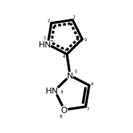 [c]1cc[nH]c1N1C=CON1